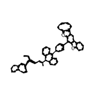 C=C/C(=C\C=C(/C)c1c2ccccc2c(-c2ccc(-c3c4oc5ccccc5c4cc4c3oc3ccccc34)cc2)c2ccccc12)c1ccc2ccccc2c1